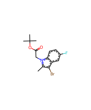 Cc1c(Br)c2cc(F)ccc2n1CC(=O)OC(C)(C)C